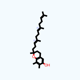 CC(C)=CCC/C(C)=C/CC/C(C)=C/CCC1(C)CCc2cc(O)c(C)c(C)c2O1